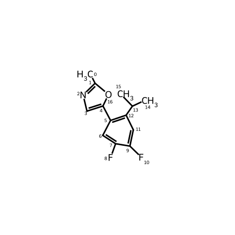 Cc1ncc(-c2cc(F)c(F)cc2C(C)C)o1